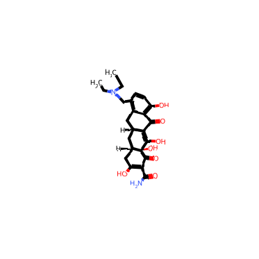 CCN(CC)Cc1ccc(O)c2c1C[C@H]1C[C@H]3CC(O)=C(C(N)=O)C(=O)[C@@]3(O)C(O)=C1C2=O